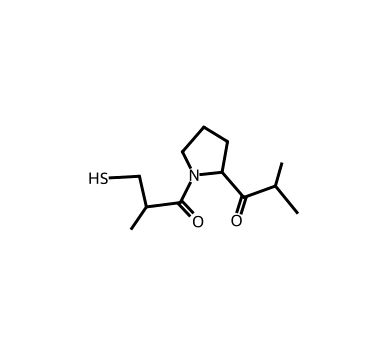 CC(C)C(=O)C1CCCN1C(=O)C(C)CS